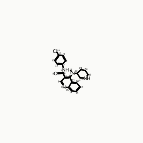 CN(c1c(C(=O)Nc2ccc(Cl)cc2)cnc2ccccc12)C1CCCNC1